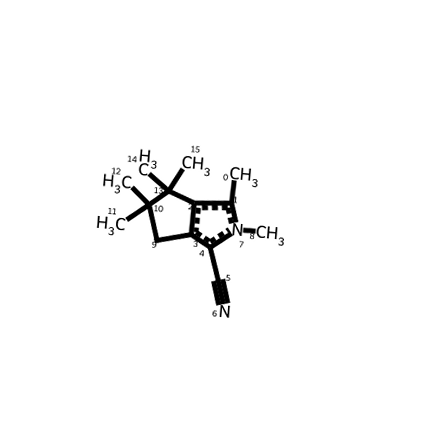 Cc1c2c(c(C#N)n1C)CC(C)(C)C2(C)C